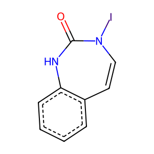 O=C1Nc2ccccc2C=CN1I